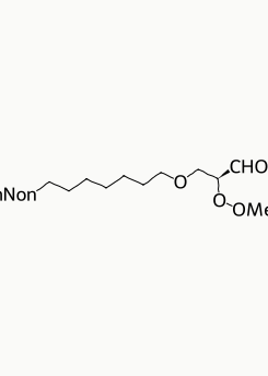 CCCCCCCCCCCCCCCCOC[C@@H](C=O)OOC